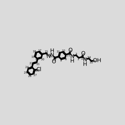 O=C(CCNC(=O)c1ccc(C(=O)NN=Cc2cccc(C=Cc3ccccc3Cl)c2)cc1)NCCO